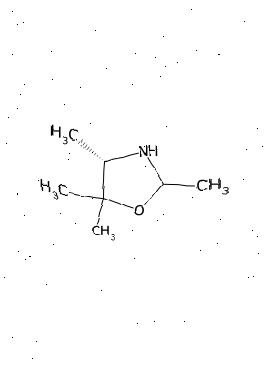 CC1N[C@@H](C)C(C)(C)O1